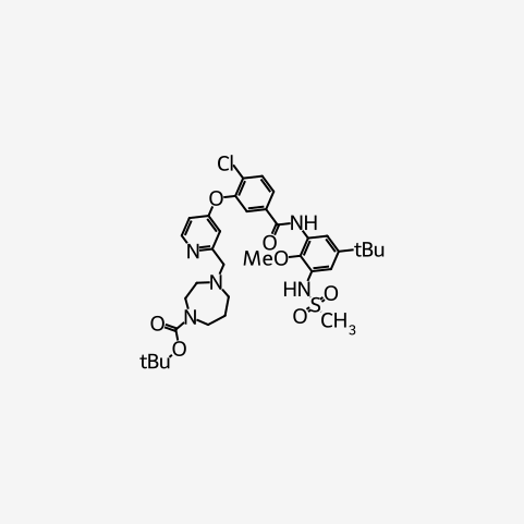 COc1c(NC(=O)c2ccc(Cl)c(Oc3ccnc(CN4CCCN(C(=O)OC(C)(C)C)CC4)c3)c2)cc(C(C)(C)C)cc1NS(C)(=O)=O